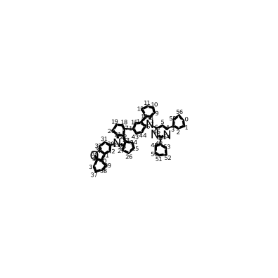 c1ccc(-c2cc(-n3c4ccccc4c4cc(-c5cccc6c5c5ccccc5n6-c5ccc6oc7ccccc7c6c5)ccc43)nc(-c3ccccc3)n2)cc1